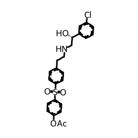 CC(=O)Oc1ccc(S(=O)(=O)c2ccc(CCNC[C@H](O)c3cccc(Cl)c3)cc2)cc1